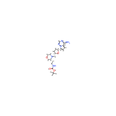 CC(C)(C)OC(=O)NCC[C@@H]1COCCN1C[C@@H]1CC[C@H](c2ccc3c(N)ncnn23)O1